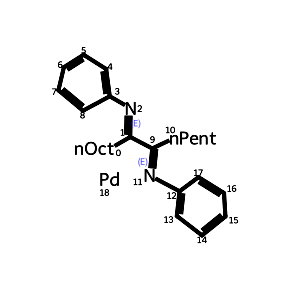 CCCCCCCCC(=N\c1ccccc1)/C(CCCCC)=N/c1ccccc1.[Pd]